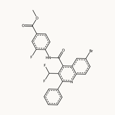 COC(=O)c1ccc(NC(=O)c2c(C(F)F)c(-c3ccccc3)nc3ccc(Br)cc23)c(F)c1